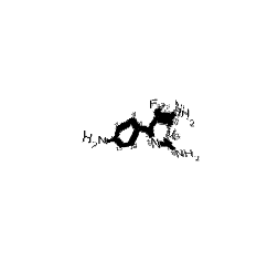 Nc1ccc(-c2nc(N)nc(N)c2F)cc1